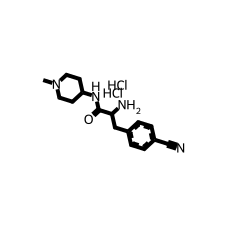 CN1CCC(NC(=O)C(N)Cc2ccc(C#N)cc2)CC1.Cl.Cl